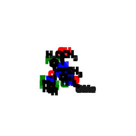 COCCC(=O)Nc1nn(C)c2c(-c3cnc(C#CC(C)(C)O)nc3[C@H](Cc3cc(F)cc(F)c3)NC(=O)Cn3nc(C(F)F)c4c3C(F)(F)[C@@H]3C[C@H]43)ccc(Cl)c12